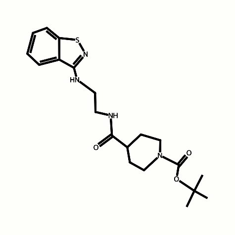 CC(C)(C)OC(=O)N1CCC(C(=O)NCCNc2nsc3ccccc23)CC1